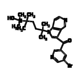 CC(C)(CCC(C)(C)[Si](C)(C)O)n1cc(C(=O)c2cncc(Br)c2)c2cnccc21